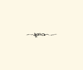 CCCCCCCCCCc1ccc(COc2ccc(-c3ncc(CCCCC)cn3)cc2)cc1